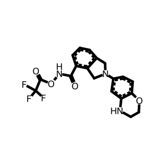 O=C(NOC(=O)C(F)(F)F)c1cccc2c1CN(c1ccc3c(c1)NCCO3)C2